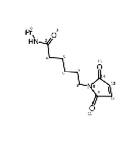 CC(C)NC(=O)CCCCCN1C(=O)C=CC1=O